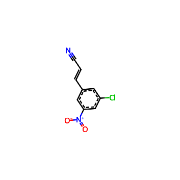 N#CC=Cc1cc(Cl)cc([N+](=O)[O-])c1